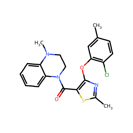 Cc1ccc(Cl)c(Oc2nc(C)sc2C(=O)N2CCN(C)c3ccccc32)c1